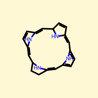 C1=CC2/C=c3/cc/c([nH]3)=C/C3CC/C(=C/c4ccc([nH]4)/C=C/1N2)N3